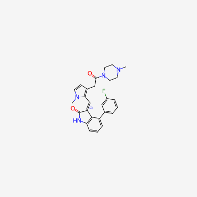 CN1CCN(C(=O)Cc2ccn(C)c2/C=C2\C(=O)Nc3cccc(-c4cccc(F)c4)c32)CC1